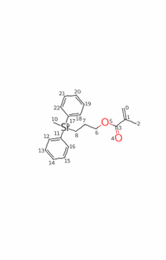 C=C(C)C(=O)OCCC[Si](C)(c1ccccc1)c1ccccc1